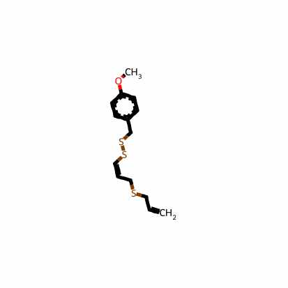 C=CCSC/C=C\SSCc1ccc(OC)cc1